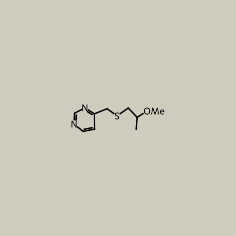 COC(C)CSCc1ccncn1